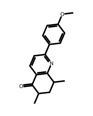 COc1ccc(-c2ccc3c(n2)C(C)CC(C)C3=O)cc1